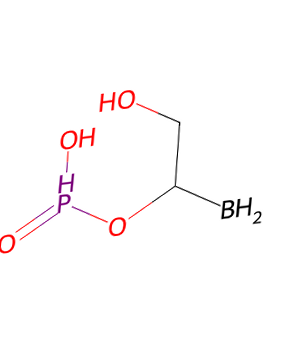 BC(CO)O[PH](=O)O